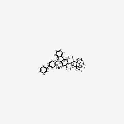 CC1(C)CB(c2c(O)c(O)c3c(c2O)c2ccccc2n3-c2ccc(-c3ccccc3)cc2)OC1(C)C